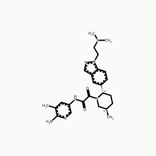 Cc1cc(NC(=O)C(=O)N2C[C@H](C)CC[C@H]2c2ccc3c(cnn3CCN(C)C)c2)cnc1N